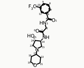 O=C(CNC(=O)c1cccc(C(F)(F)F)c1)N[C@H]1CN(C2CCOCC2)C[C@@H]1O